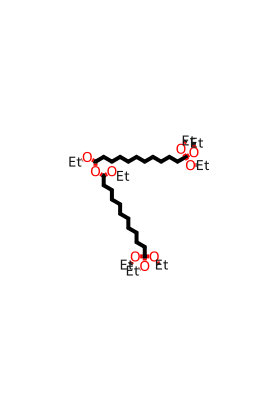 CCOC(CCCCCCCCCCC(OCC)(OCC)OCC)OC(CCCCCCCCCCC(OCC)(OCC)OCC)OCC